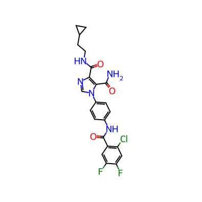 NC(=O)c1c(C(=O)NCCC2CC2)ncn1-c1ccc(NC(=O)c2cc(F)c(F)cc2Cl)cc1